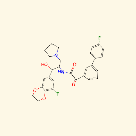 O=C(NC(CN1CCCC1)C(O)c1cc(F)c2c(c1)OCCO2)C(=O)c1cccc(-c2ccc(F)cc2)c1